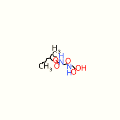 CCCCC(CC)COC(=O)NCC(=O)NCC(=O)O